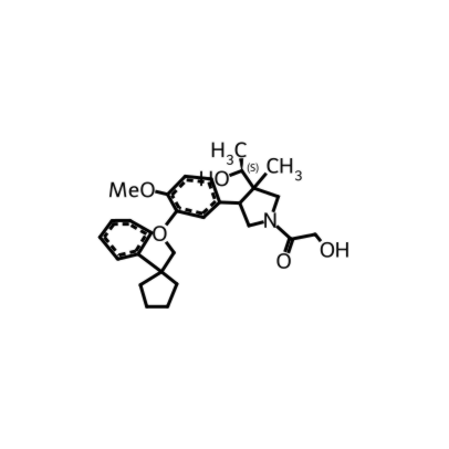 COc1ccc(C2CN(C(=O)CO)CC2(C)[C@H](C)O)cc1OCC1(c2ccccc2)CCCC1